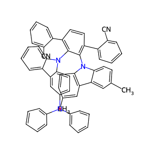 Cc1ccc2c(c1)c1cc(C)ccc1n2-c1c(-c2ccccc2C#N)ccc(-c2ccccc2C#N)c1-n1c2ccccc2c2cc(N(c3ccccc3)c3ccccc3)ccc21